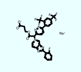 O=C([O-])CCOC(=O)C(c1ccc(-c2ccc(C(F)(F)F)cc2C(F)(F)F)nn1)n1ccc2nc(-c3ccccc3F)nc-2c1.[Na+]